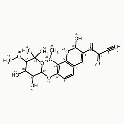 C#CC(=O)NC1=Cc2ccc(OC3OC(C)(C)C(OC)C(O)C3O)c(OC)c2OC1O